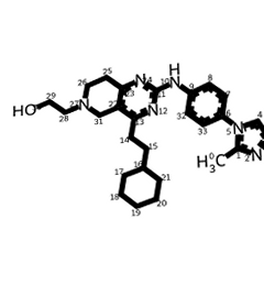 Cc1nccn1-c1ccc(Nc2nc(CCC3CCCCC3)c3c(n2)CCN(CCO)C3)cc1